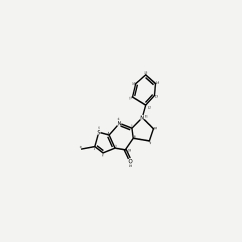 Cc1cc2c(s1)N=C1C(CCN1c1ccccc1)C2=O